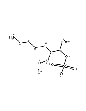 CCCCCCCCCCC(OS(=O)(=O)[O-])C(OCC)OCCCN.[Na+]